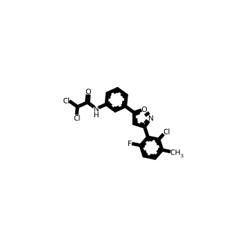 Cc1ccc(F)c(-c2cc(-c3cccc(NC(=O)C(Cl)Cl)c3)on2)c1Cl